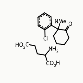 CNC1(c2ccccc2Cl)CCCCC1=O.NC(CCC(=O)O)C(=O)O